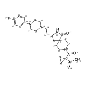 CC(=O)N(C)C1(C(=O)N2CCC3(CC2)C[C@H](CCN2CCN(c4ccc(F)cc4)CC2)NC3=O)CC1